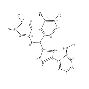 CNc1ncccc1-c1noc(C(Sc2ccc(C)c(C)c2)c2ccc(Cl)c(Cl)c2)n1